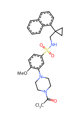 COc1ccc(S(=O)(=O)NCC2(c3cccc4ccccc34)CC2)cc1N1CCN(C(=O)C(Cl)(Cl)Cl)CC1